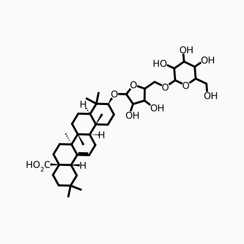 CC1(C)CC[C@]2(C(=O)O)CC[C@]3(C)C(=CC[C@@H]4[C@@]5(C)CC[C@H](OC6OC(COC7OC(CO)C(O)C(O)C7O)C(O)C6O)C(C)(C)[C@@H]5CC[C@]43C)[C@@H]2C1